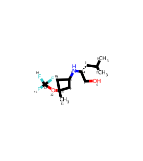 CC(C)C[C@H](CO)NC1CC(C)(OC(F)(F)F)C1